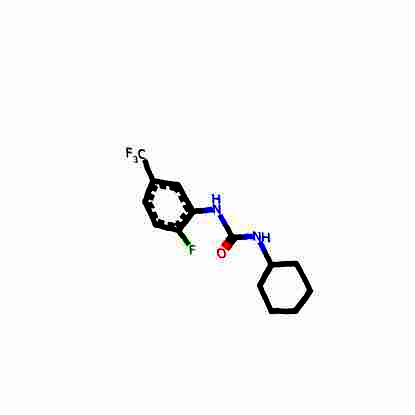 O=C(Nc1cc(C(F)(F)F)ccc1F)NC1CCCCC1